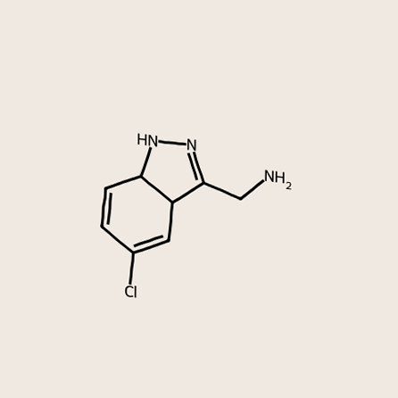 NCC1=NNC2C=CC(Cl)=CC12